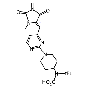 CN1C(=O)NC(=O)/C1=C/c1ccnc(N2CCC(N(C(=O)O)C(C)(C)C)CC2)n1